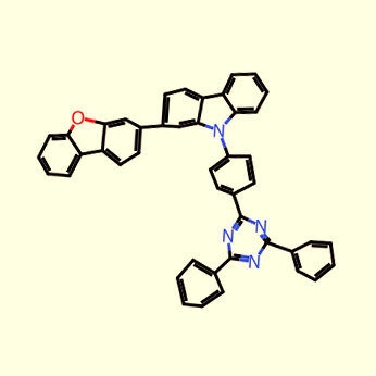 c1ccc(-c2nc(-c3ccccc3)nc(-c3ccc(-n4c5ccccc5c5ccc(-c6ccc7c(c6)oc6ccccc67)cc54)cc3)n2)cc1